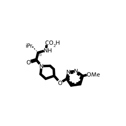 COc1ccc(OC2CCN(C(=O)[C@@H](NC(=O)O)C(C)C)CC2)nn1